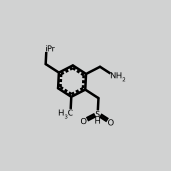 Cc1cc(CC(C)C)cc(CN)c1C[SH](=O)=O